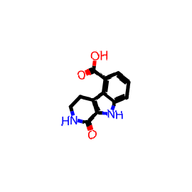 O=C1NCCc2c1[nH]c1cccc(C(=O)O)c21